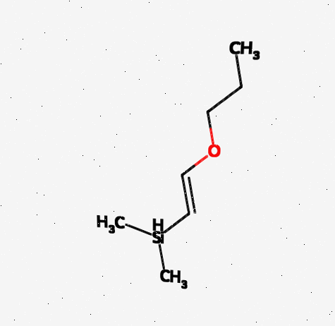 CCCOC=C[SiH](C)C